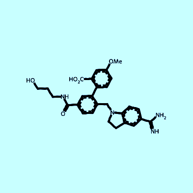 COc1ccc(-c2cc(C(=O)NCCCO)ccc2CN2CCc3cc(C(=N)N)ccc32)c(C(=O)O)c1